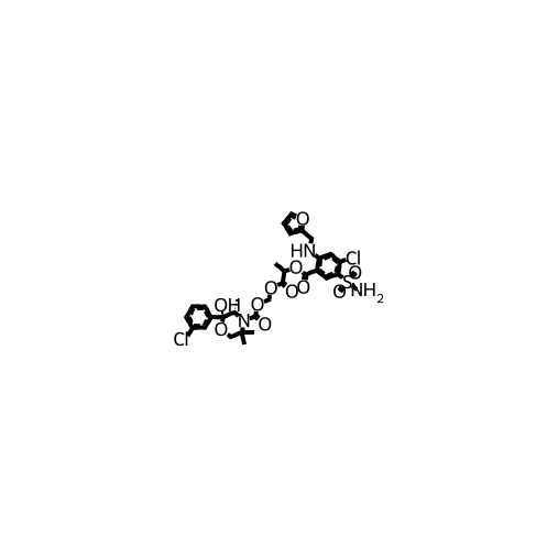 CC(OC(=O)c1cc(S(N)(=O)=O)c(Cl)cc1NCc1ccco1)C(=O)OCOC(=O)N1[C@@H](C)[C@](O)(c2cccc(Cl)c2)OCC1(C)C